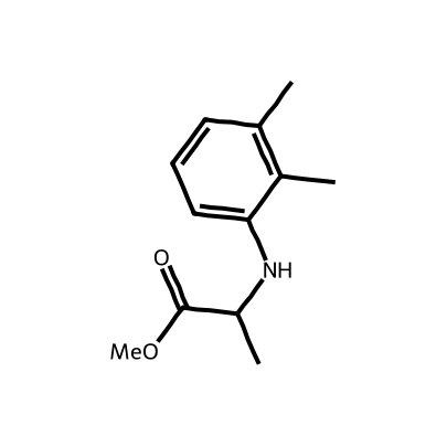 [CH2]OC(=O)C(C)Nc1cccc(C)c1C